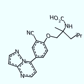 CC(C)CC(C)(COc1ccc(-c2ccnc3ccnn23)cc1C#N)NC(=O)O